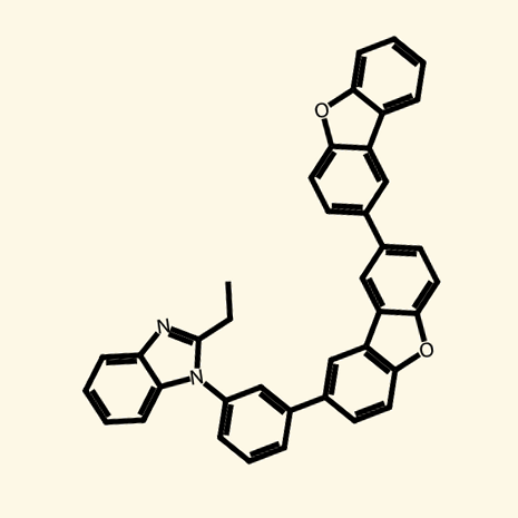 CCc1nc2ccccc2n1-c1cccc(-c2ccc3oc4ccc(-c5ccc6oc7ccccc7c6c5)cc4c3c2)c1